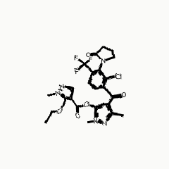 CCOc1c(C(=O)Oc2c(C(=O)c3ccc(C(F)(F)F)c(N4CCCC4=O)c3Cl)c(C)nn2C)cnn1C